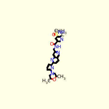 Cc1ncc(C(=O)NCc2cc3nc(-c4cccc(N5C[C@@H](C)O[C@@H](C)C5)n4)ccc3cn2)cc1[S@@](C)(=N)=O